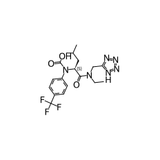 CCN(Cc1nnn[nH]1)C(=O)[C@H](CC(C)C)N(C(=O)O)c1ccc(C(F)(F)F)cc1